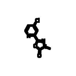 Cn1nc(-c2cc(Cl)ccn2)oc1=O